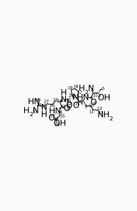 C[C@@H](O)[C@H](N)C(=O)N[C@@H](CCCCN)C(=O)N1CCC[C@H]1C(=O)N[C@@H](CCCNC(=N)N)C(=O)NCC(=O)O